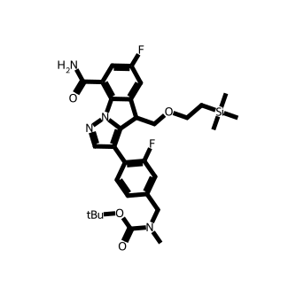 CN(Cc1ccc(-c2cnn3c2C(COCC[Si](C)(C)C)c2cc(F)cc(C(N)=O)c2-3)c(F)c1)C(=O)OC(C)(C)C